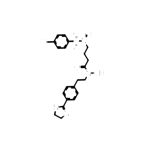 CN(CCc1ccc(C2=NCCN2)cc1)C(=O)CCCN(C)S(=O)(=O)c1ccc(Cl)cc1